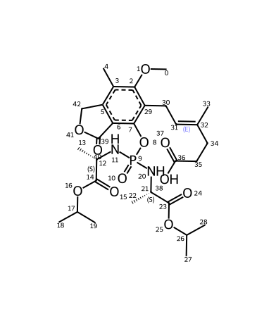 COc1c(C)c2c(c(OP(=O)(N[C@@H](C)C(=O)OC(C)C)N[C@@H](C)C(=O)OC(C)C)c1C/C=C(\C)CCC(=O)O)C(=O)OC2